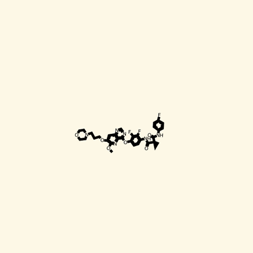 COc1nc2c(Oc3ccc(NC(=O)C4(C(=O)Nc5ccc(F)cc5)CC4)c(F)c3F)ncnc2cc1OCCCN1CCOCC1